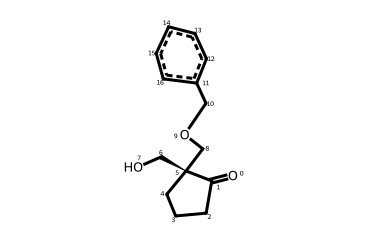 O=C1CCC[C@]1(CO)COCc1ccccc1